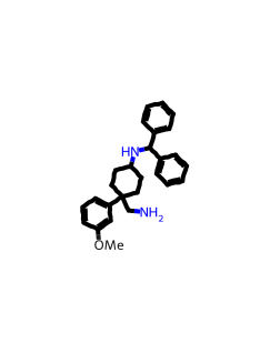 COc1cccc(C2(CN)CCC(NC(c3ccccc3)c3ccccc3)CC2)c1